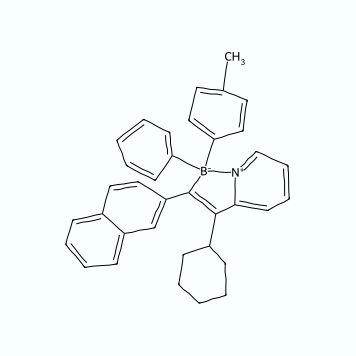 Cc1ccc([B-]2(c3ccccc3)C(c3ccc4ccccc4c3)=C(C3CCCCC3)c3cccc[n+]32)cc1